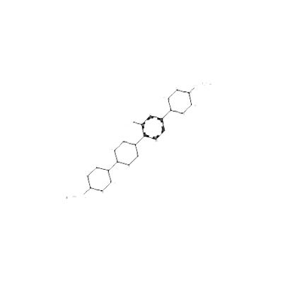 CCCCCC1CCC(C2CCC(c3ccc(C4CCC(OC)CC4)cc3C)CC2)CC1